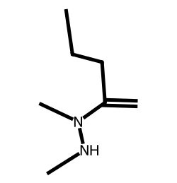 C=C(CCC)N(C)NC